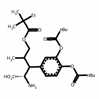 CCCCC(=O)Oc1ccc(C(C(C)COC(=O)C(C)(C)CC)[C@H](N)C(=O)O)cc1OC(=O)CCCC